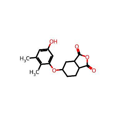 Cc1cc(O)cc(OC2CCC3C(=O)OC(=O)C3C2)c1C